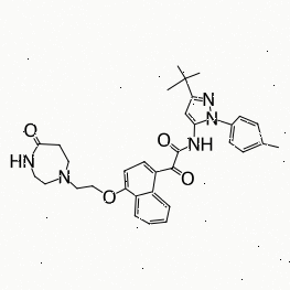 Cc1ccc(-n2nc(C(C)(C)C)cc2NC(=O)C(=O)c2ccc(OCCN3CCNC(=O)CC3)c3ccccc23)cc1